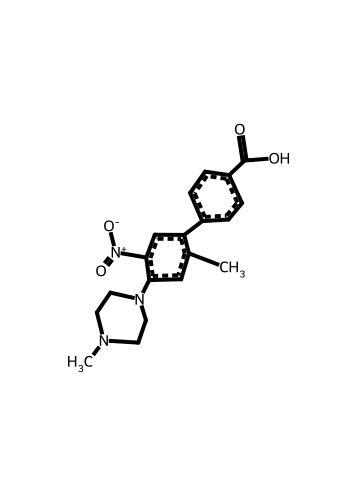 Cc1cc(N2CCN(C)CC2)c([N+](=O)[O-])cc1-c1ccc(C(=O)O)cc1